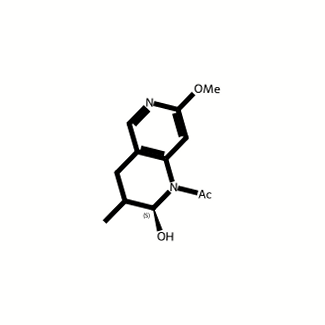 COc1cc2c(cn1)CC(C)[C@H](O)N2C(C)=O